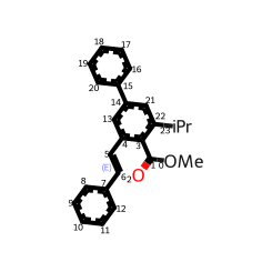 COC(=O)c1c(/C=C/c2ccccc2)cc(-c2ccccc2)cc1C(C)C